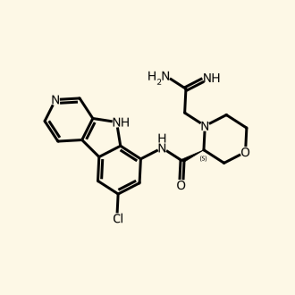 N=C(N)CN1CCOC[C@H]1C(=O)Nc1cc(Cl)cc2c1[nH]c1cnccc12